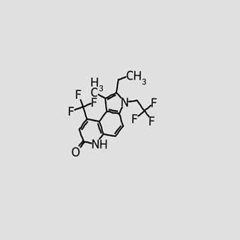 CCc1c(C)c2c3c(C(F)(F)F)cc(=O)[nH]c3ccc2n1CC(F)(F)F